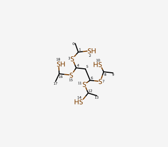 CC(S)SC(CC(SC(C)S)SC(C)S)SC(C)S